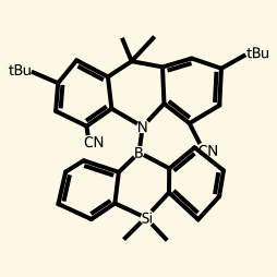 CC(C)(C)c1cc(C#N)c2c(c1)C(C)(C)c1cc(C(C)(C)C)cc(C#N)c1N2B1c2ccccc2[Si](C)(C)c2ccccc21